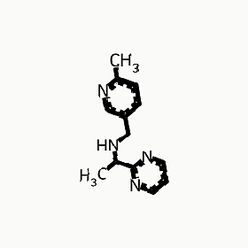 Cc1ccc(CNC(C)c2ncccn2)cn1